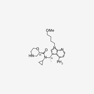 COCCCCn1cc([C@H](C)N(C(=O)[C@H]2CNCCO2)C2CC2)c2c(P)ccnc21